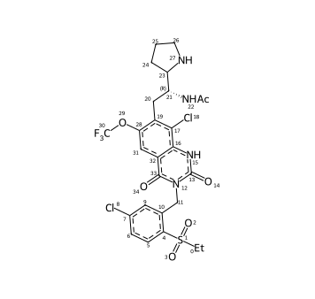 CCS(=O)(=O)c1ccc(Cl)cc1Cn1c(=O)[nH]c2c(Cl)c(C[C@@H](NC(C)=O)C3CCCN3)c(OC(F)(F)F)cc2c1=O